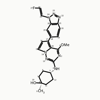 COc1nc(N[C@H]2CC[C@](C)(O)CC2)nn2ccc(-c3ccc4nnn(/C=C/F)c4c3)c12